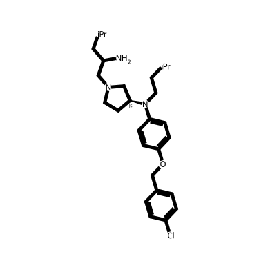 CC(C)CCN(c1ccc(OCc2ccc(Cl)cc2)cc1)[C@H]1CCN(CC(N)CC(C)C)C1